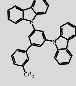 Cc1cccc(-c2cc(-n3c4ccccc4c4ccccc43)cc(-n3c4ccccc4c4ccccc43)c2)c1